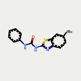 CC(C)(C)c1ccc2nc(NC(=O)Nc3ccccc3)sc2c1